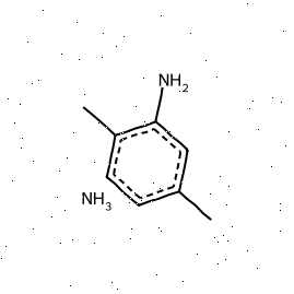 Cc1ccc(C)c(N)c1.N